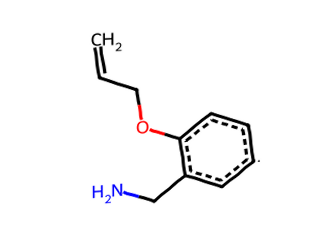 C=CCOc1cc[c]cc1CN